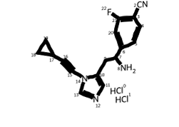 Cl.Cl.N#Cc1ccc(C(N)Cc2cncn2C#CC2CC2)cc1F